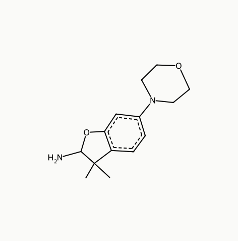 CC1(C)c2ccc(N3CCOCC3)cc2OC1N